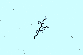 CCCOC(=O)CC(OCC)C(=O)OCCC